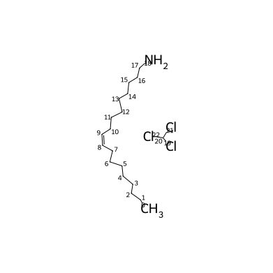 CCCCCCCC/C=C\CCCCCCCCN.ClC(Cl)Cl